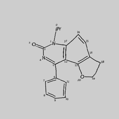 CC(C)n1c(=O)nc(-c2ccccc2)c2c3c(ccc21)CCO3